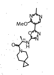 COc1nc(C)ncc1-c1nnc(N[C@H](C)C(=O)N2CCC3(CC2)CC3)o1